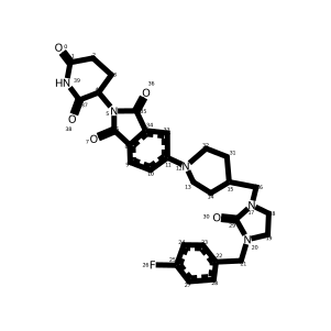 O=C1CCC(N2C(=O)c3ccc(N4CCC(CN5CCN(Cc6ccc(F)cc6)C5=O)CC4)cc3C2=O)C(=O)N1